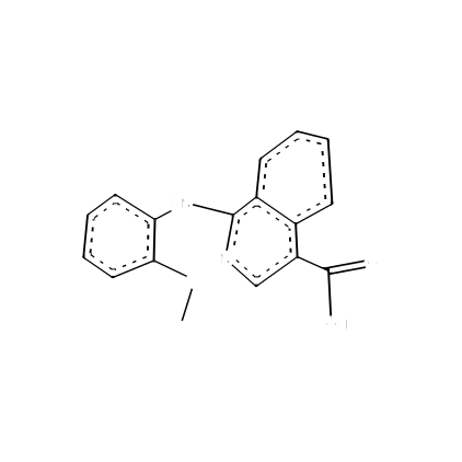 COc1ccccc1Nc1ncc(C(=O)O)c2ccccc12